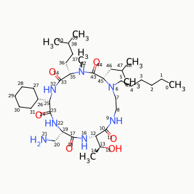 CCCCCCN1CCNC(=O)[C@H]([C@H](C)O)NC(=O)[C@H](CN)NC(=O)[C@H](C2CCCCC2)NC(=O)[C@H](CCC(C)C)N(C)C(=O)[C@@H]1CC(C)C